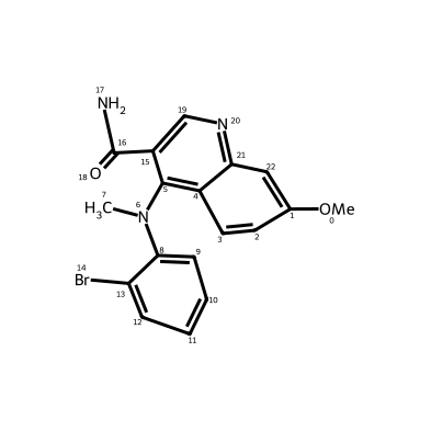 COc1ccc2c(N(C)c3ccccc3Br)c(C(N)=O)cnc2c1